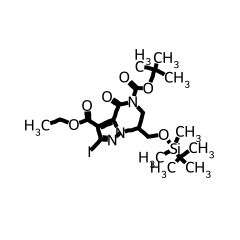 CCOC(=O)c1c(I)nn2c1C(=O)N(C(=O)OC(C)(C)C)CC2CO[Si](C)(C)C(C)(C)C